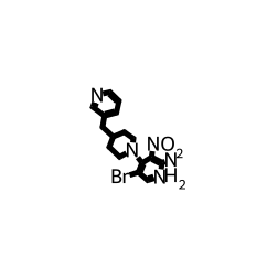 Nc1ncc(Br)c(N2CCC(Cc3cccnc3)CC2)c1[N+](=O)[O-]